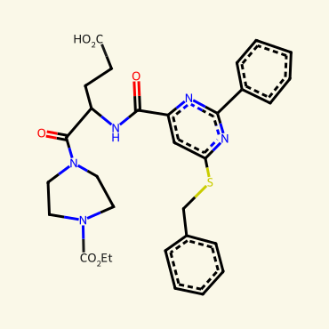 CCOC(=O)N1CCN(C(=O)C(CCC(=O)O)NC(=O)c2cc(SCc3ccccc3)nc(-c3ccccc3)n2)CC1